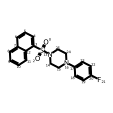 O=S(=O)(c1cccc2ccccc12)N1CCN(c2ccc(F)cc2)CC1